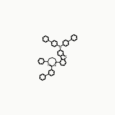 c1ccc(-c2ccc(N(c3ccc(-c4ccccc4)cc3)c3ccc4c(c3)sc3cccc(/C5=N/C(c6cccc(-c7ccccc7)c6)=N\C(c6ccccc6)CCC5)c34)cc2)cc1